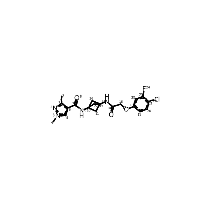 Cc1nn(C)cc1C(=O)NC12CC(NC(=O)COc3ccc(Cl)c(F)c3)(C1)C2